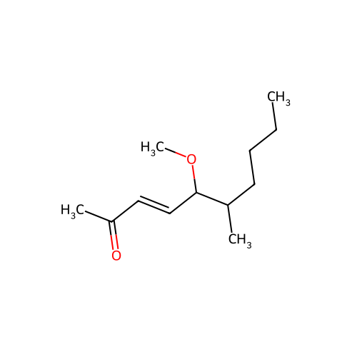 CCCCC(C)C(C=CC(C)=O)OC